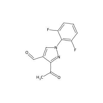 CC(=O)c1nn(-c2c(F)cccc2F)cc1C=O